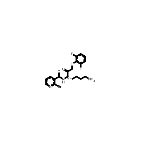 NCCCC[C@H](NC(=O)c1cccnc1Br)C(=O)COc1c(F)cccc1F